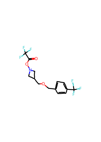 O=C(ON1CC(COCc2ccc(C(F)(F)F)cc2)C1)C(F)(F)F